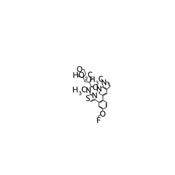 CN(C(=O)C(CC(=O)O)CC1CCOCC1)c1nc(-c2cc(OCF)ccc2-c2cnc3c(ccn3C)c2)cs1